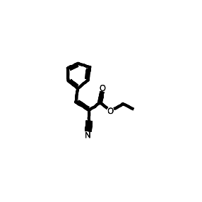 CCOC(=O)/C(C#N)=C\c1ccccc1